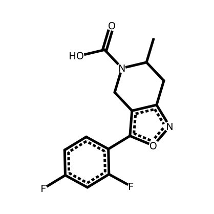 CC1Cc2noc(-c3ccc(F)cc3F)c2CN1C(=O)O